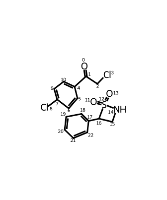 O=C(CCl)c1ccc(Cl)cc1.O=S1(=O)NCC1c1ccccc1